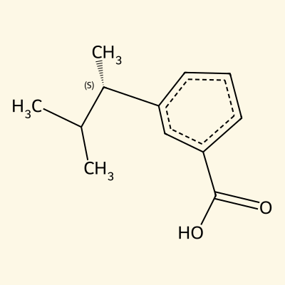 CC(C)[C@H](C)c1cccc(C(=O)O)c1